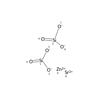 O=[Si]([O-])[O-].O=[Si]([O-])[O-].[Sr+2].[Zn+2]